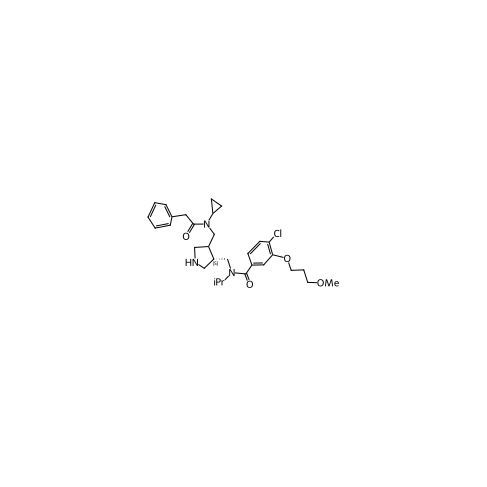 COCCCOc1cc(C(=O)N(C[C@@H]2CNCC2CN(C(=O)Cc2ccccc2)C2CC2)C(C)C)ccc1Cl